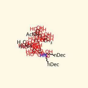 CCCCCCCCCCCCC/C=C/[C@@H](O)[C@H](CO[C@@H]1OC(CO)[C@@H](O[C@@H]2OC(CO)[C@H](O)[C@H](O[C@@H]3OC(CO)[C@@H](O[C@@H]4OC(CO)[C@H](O)[C@H](O[C@@H]5OC(CO)[C@@H](O[C@H]6OC(C)[C@@H](O)C(O)[C@@H]6O)[C@H](O[C@@H]6OC(CO)[C@H](O)[C@H](O)C6O)C5NC(C)=O)C4O)[C@H](O[C@H]4OC(C)[C@@H](O)C(O)[C@@H]4O)C3NC(C)=O)C2O)[C@H](O)C1O)NC(=O)CCCCCCCCCCCCCCC